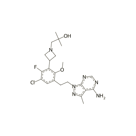 COc1c(CCn2nc(C)c3c(N)ncnc32)cc(Cl)c(F)c1C1CN(CC(C)(C)O)C1